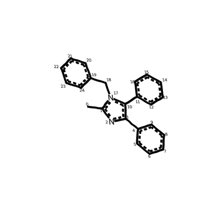 Cc1nc(-c2ccccc2)c(-c2ccccc2)n1Cc1ccccc1